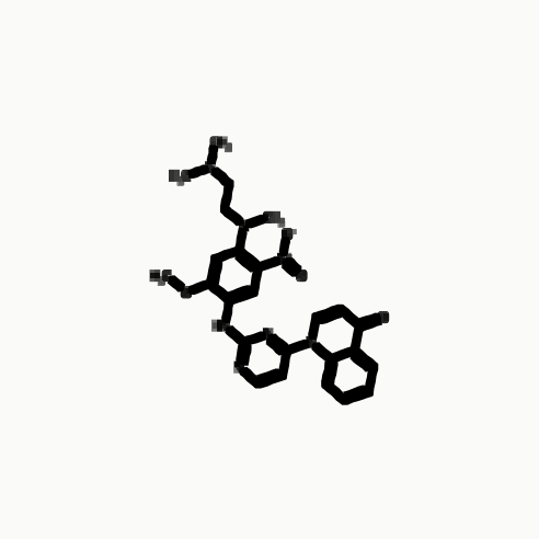 COc1cc(N(C)CCN(C)C)c([N+](=O)[O-])cc1Nc1nccc(-n2ccc(=O)c3ccccc32)n1